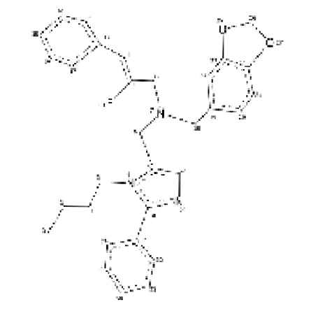 CCCCn1c(CN(CC(F)=Cc2ccccc2)Cc2ccc3c(c2)OCO3)cnc1-c1ccccc1